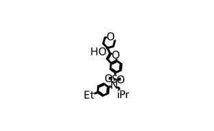 CCc1ccc(N(CC(C)C)S(=O)(=O)c2ccc3oc(C4(O)CCOCC4)cc3c2)cc1